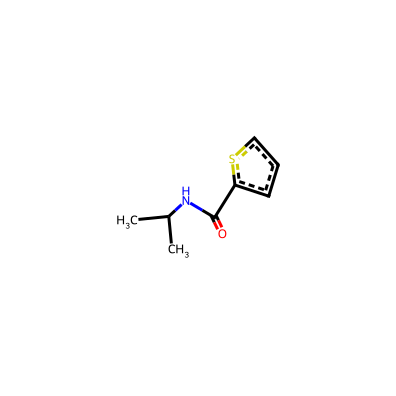 CC(C)NC(=O)c1cccs1